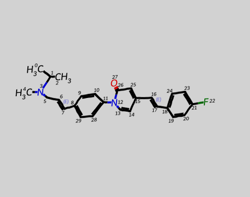 CC(C)N(C)C/C=C/c1ccc(-n2ccc(/C=C/c3ccc(F)cc3)cc2=O)cc1